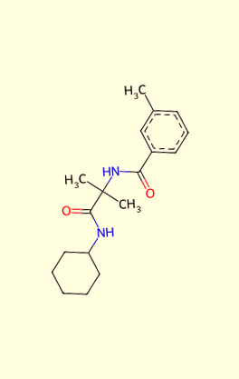 Cc1cccc(C(=O)NC(C)(C)C(=O)NC2CCCCC2)c1